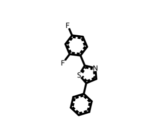 Fc1ccc(-c2ncc(-c3ccccc3)s2)c(F)c1